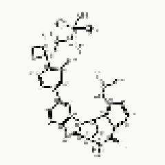 C[C@H]1CC[C@]1(CC[S@@+]([O-])C(C)(C)C)c1ncc(-c2ccc3nc4n(c3c2)C2C[C@H]4NC(=O)c3cccc(OC(F)F)c32)cc1F